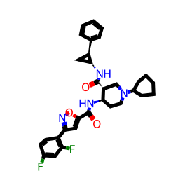 O=C(N[C@@H]1CCN(C2CCCCC2)C[C@H]1C(=O)N[C@@H]1C[C@H]1c1ccccc1)c1cc(-c2ccc(F)cc2F)no1